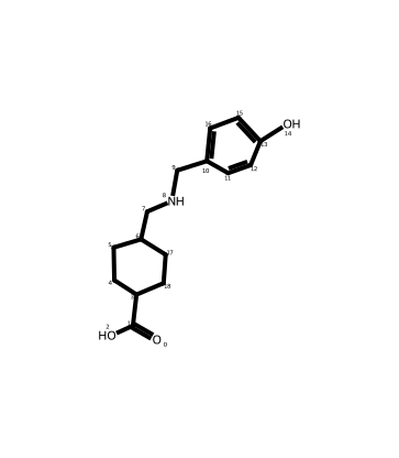 O=C(O)C1CCC(CNCc2ccc(O)cc2)CC1